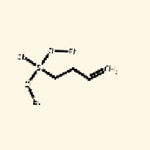 C=CCC[Si](CC)(OCC)OCC